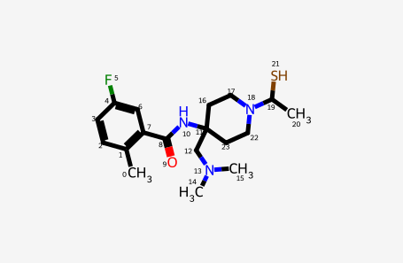 Cc1ccc(F)cc1C(=O)NC1(CN(C)C)CCN(C(C)S)CC1